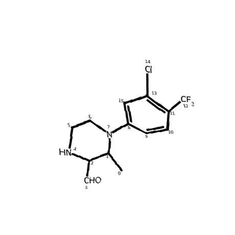 CC1C(C=O)NCCN1c1ccc(C(F)(F)F)c(Cl)c1